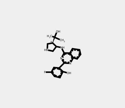 CC(C)(O)[C@@H]1CNCC1Nc1nc(-c2cc(F)ccc2O)nc2ccccc12